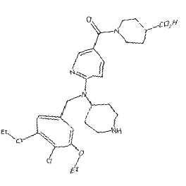 CCOc1cc(CN(c2ccc(C(=O)N3CCC(C(=O)O)CC3)cn2)C2CCNCC2)cc(OCC)c1Cl